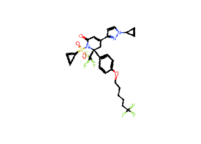 O=C1C=C(c2ccn(C3CC3)n2)CC(c2ccc(OCCCCCC(F)(F)F)cc2)(C(F)(F)F)N1S(=O)(=O)C1CC1